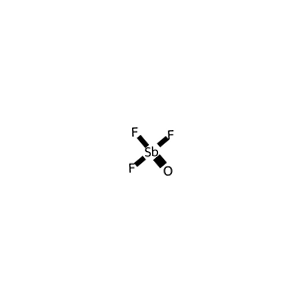 [O]=[Sb]([F])([F])[F]